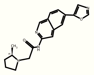 C[C@@H]1CCCN1CC(=O)Nc1cc2cc(-c3cnco3)ccc2cn1